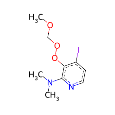 COCOOc1c(I)ccnc1N(C)C